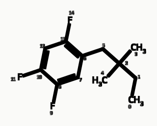 CCC(C)(C)Cc1cc(F)c(F)cc1F